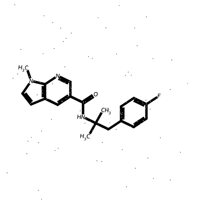 Cn1ccc2cc(C(=O)NC(C)(C)Cc3ccc(F)cc3)cnc21